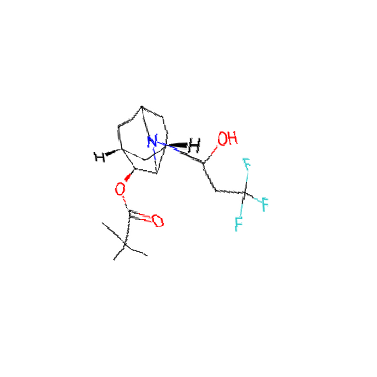 CC(C)(C)C(=O)O[C@@H]1C2[C@H]3CC(C[C@@H]1C3)CN2C(O)CC(F)(F)F